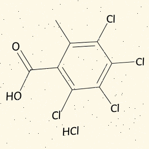 Cc1c(Cl)c(Cl)c(Cl)c(Cl)c1C(=O)O.Cl